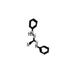 N#CC(/N=N/c1ccccc1)=N\Nc1ccccc1